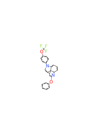 CC1C=C(Oc2ccccc2)N=C2C=CC=C3N(c4ccc(OC(F)(F)F)cc4)CCC321